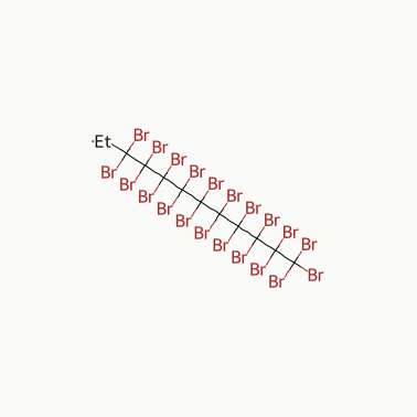 C[CH]C(Br)(Br)C(Br)(Br)C(Br)(Br)C(Br)(Br)C(Br)(Br)C(Br)(Br)C(Br)(Br)C(Br)(Br)C(Br)(Br)C(Br)(Br)Br